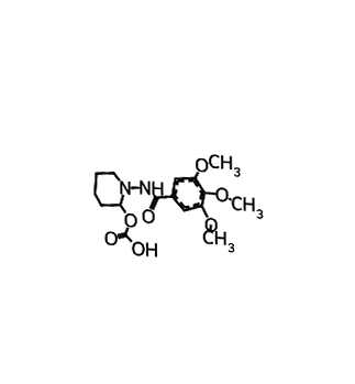 COc1cc(C(=O)NN2CCCCC2OC(=O)O)cc(OC)c1OC